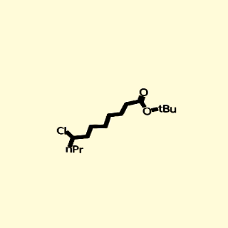 CCCC(Cl)CCCCCCC(=O)OC(C)(C)C